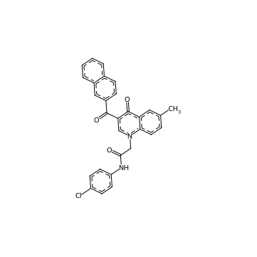 Cc1ccc2c(c1)c(=O)c(C(=O)c1ccc3ccccc3c1)cn2CC(=O)Nc1ccc(Cl)cc1